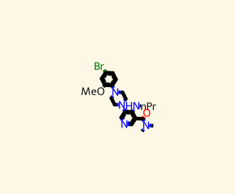 CCCNc1c(C(=O)N(C)C)cncc1N1CCN(c2ccc(Br)cc2OC)CC1